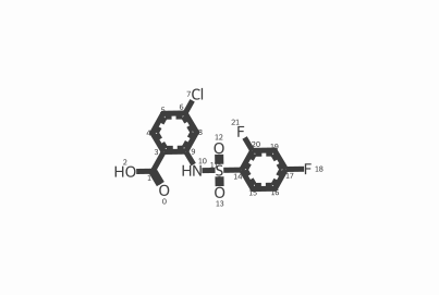 O=C(O)c1ccc(Cl)cc1NS(=O)(=O)c1ccc(F)cc1F